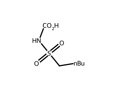 CCCCCS(=O)(=O)NC(=O)O